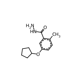 Cc1ccc(OC2CCCC2)cc1C(=O)NN